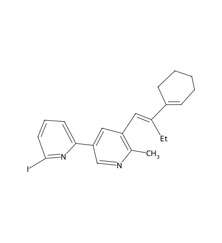 CC/C(=C\c1cc(-c2cccc(I)n2)cnc1C)C1=CCCCC1